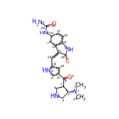 CN(C)[C@H]1CNCC1C(=O)c1c[nH]c(C=C2C(=O)Nc3ccc(NC(N)=O)cc32)c1